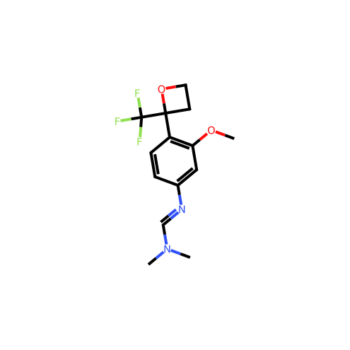 COc1cc(/N=C/N(C)C)ccc1C1(C(F)(F)F)CCO1